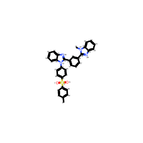 Cc1ccc(S(=O)(=O)c2ccc(-n3c(-c4cccc(-c5nc6ccccc6n5C)c4)nc4ccccc43)cc2)cc1